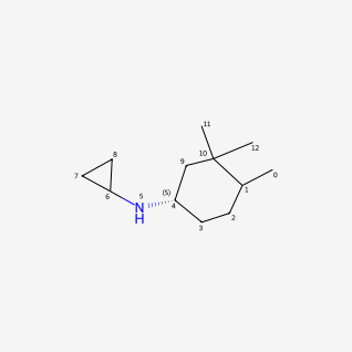 CC1CC[C@H](NC2CC2)CC1(C)C